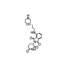 O=C1CCC(N2C(=O)c3cccc(NCCC[C@H]4CNCCO4)c3C2=O)C(=O)N1